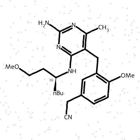 CCCC[C@@H](CCOC)Nc1nc(N)nc(C)c1Cc1cc(CC#N)ccc1OC